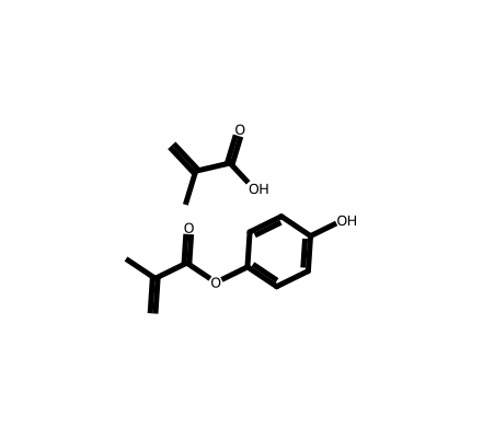 C=C(C)C(=O)O.C=C(C)C(=O)Oc1ccc(O)cc1